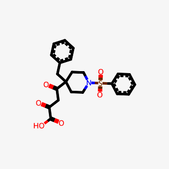 O=C(O)C(=O)CC(=O)C1(Cc2ccccc2)CCN(S(=O)(=O)c2ccccc2)CC1